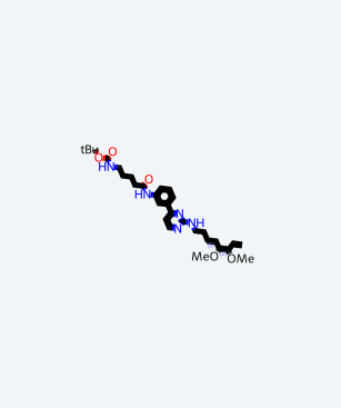 C=C/C(OC)=C(\C=C\CCNc1nccc(-c2cccc(NC(=O)CCCCNC(=O)OC(C)(C)C)c2)n1)OC